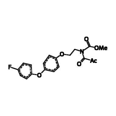 COC(=O)N(CCOc1ccc(Oc2ccc(F)cc2)cc1)C(=O)C(C)=O